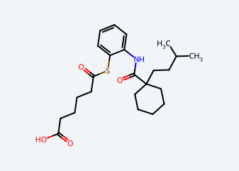 CC(C)CCC1(C(=O)Nc2ccccc2SC(=O)CCCCC(=O)O)CCCCC1